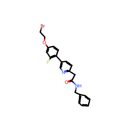 O=C(Cc1ccc(-c2ccc(OCCBr)cc2F)cn1)NCc1ccccc1